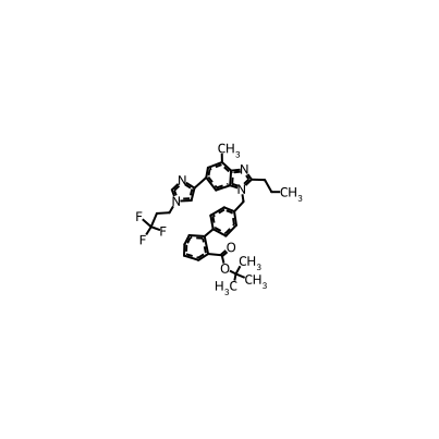 CCCc1nc2c(C)cc(-c3cn(CCC(F)(F)F)cn3)cc2n1Cc1ccc(-c2ccccc2C(=O)OC(C)(C)C)cc1